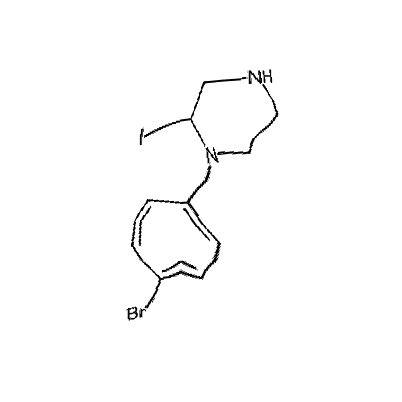 Brc1ccc(N2CCNCC2I)cc1